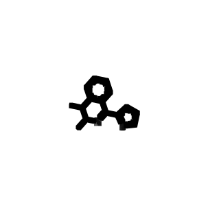 CC1N=C(c2cccs2)c2ccccc2C1C